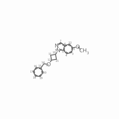 COc1ccc2c(cnn2C2CC(OCc3ccccc3)C2)c1